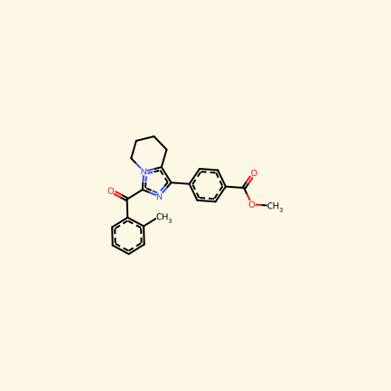 COC(=O)c1ccc(-c2nc(C(=O)c3ccccc3C)n3c2CCCC3)cc1